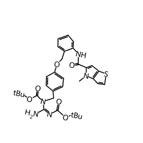 Cn1c(C(=O)Nc2ccccc2COc2ccc(CN(C(=O)OC(C)(C)C)/C(N)=N\C(=O)OC(C)(C)C)cc2)cc2sccc21